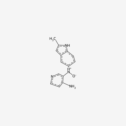 Cc1cc2cc([NH+]([O-])c3cnccc3N)ccc2[nH]1